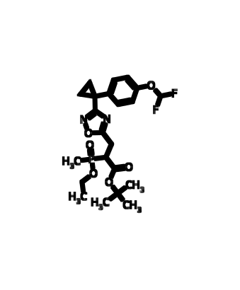 CCOP(C)(=O)C(Cc1nc(C2(c3ccc(OC(F)F)cc3)CC2)no1)C(=O)OC(C)(C)C